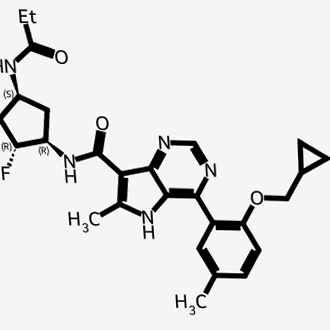 CCC(=O)N[C@@H]1C[C@@H](F)[C@H](NC(=O)c2c(C)[nH]c3c(-c4cc(C)ccc4OCC4CC4)ncnc23)C1